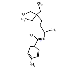 CCC(CC)(CC)CCC(C)/N=C(\C)C1C=CC(N)=CC1